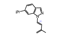 C=C(C)/C=C/n1ncc2ccc(C(C)C)cc21